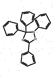 c1ccc(C2=NC(c3ccccc3)(c3ccccc3)N(c3ccccc3)[N]2)cc1